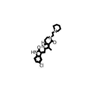 Cc1c(/C=C2\C(=O)Nc3ccc(Cl)cc32)[nH]c2c1C(=O)N(CCN1CCCCC1)CC2